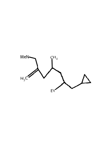 C=C(CNC)CC(C)CC(CC)CC1CC1